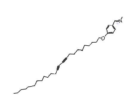 CCCCCCCCCCCCC#CC#CCCCCCCCCCOc1ccc(/C=N/C)cc1